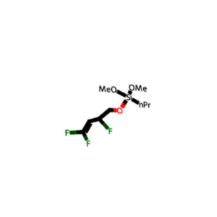 CCC[Si](OC)(OC)OCC(F)C=C(F)F